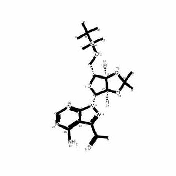 CC(=O)c1nn([C@@H]2O[C@H](CO[Si](C)(C)C(C)(C)C)[C@H]3OC(C)(C)O[C@H]32)c2ncnc(N)c12